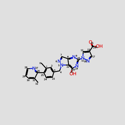 Cc1cc(Cn2ncc3nc(-n4cc(C(=O)O)cn4)nc(O)c32)ccc1-c1ncccc1C